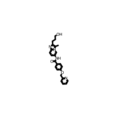 Cc1c(CCCO)nc2ccc(NC(=O)c3ccc(OCc4ccccn4)cc3)cn12